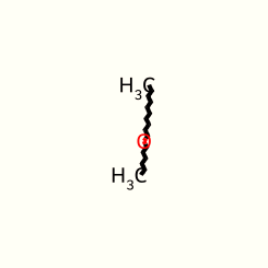 CCCCCCCCCCOCCCCCC